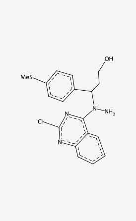 CSc1ccc(C(CCO)N(N)c2nc(Cl)nc3ccccc23)cc1